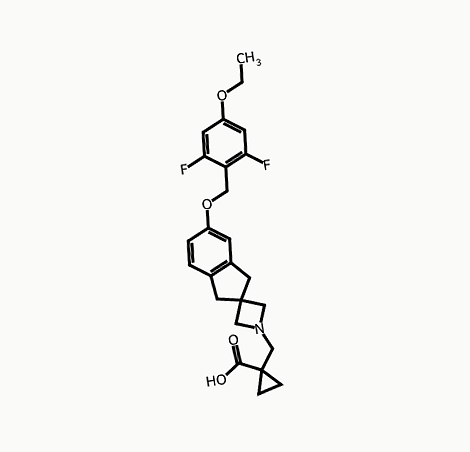 CCOc1cc(F)c(COc2ccc3c(c2)CC2(C3)CN(CC3(C(=O)O)CC3)C2)c(F)c1